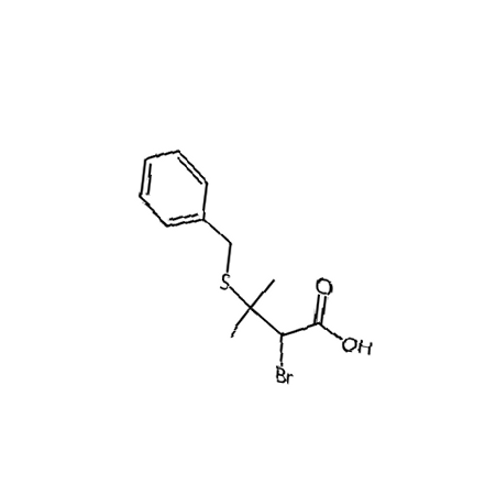 CC(C)(SCc1ccccc1)C(Br)C(=O)O